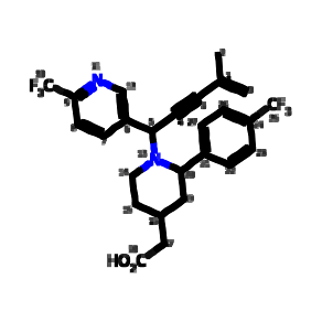 C=C(C)C#CC(c1ccc(C(F)(F)F)nc1)N1CCC(CC(=O)O)CC1c1ccc(C(F)(F)F)cc1